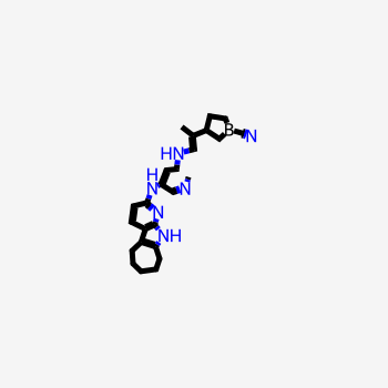 C/N=C\C(=C/CN/C=C(\C)C1CCB(C#N)C1)Nc1ccc2c3c([nH]c2n1)CCCCC3